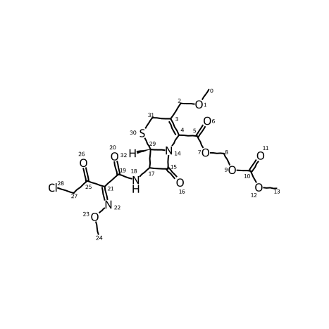 COCC1=C(C(=O)OCOC(=O)OC)N2C(=O)C(NC(=O)C(=NOC)C(=O)CCl)[C@@H]2SC1